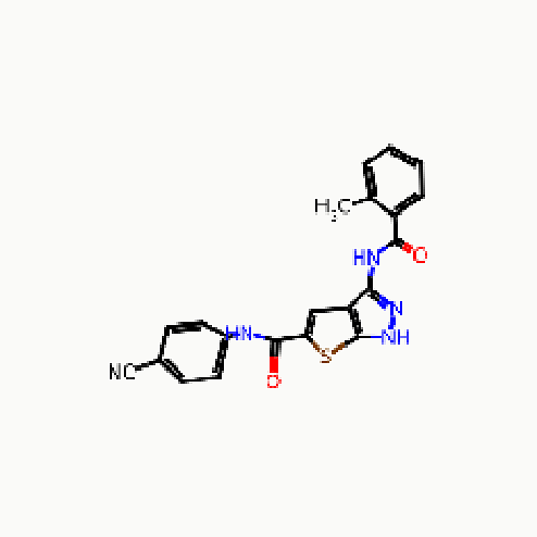 Cc1ccccc1C(=O)Nc1n[nH]c2sc(C(=O)Nc3ccc(C#N)cc3)cc12